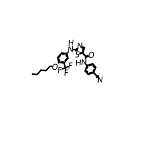 CCCCCOc1ccc(Nc2ncc(C(=O)Nc3ccc(C#N)cc3)s2)cc1C(F)(F)F